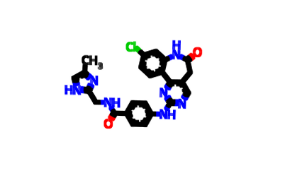 Cc1c[nH]c(CNC(=O)c2ccc(Nc3ncc4c(n3)-c3ccc(Cl)cc3NC(=O)C4)cc2)n1